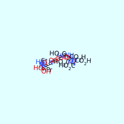 CCNC(=O)c1nnc(-c2cc(C(C)C)c(O)cc2O)n1-c1ccc(CC2CCN(C(=O)CCOCCOCCOCCNC(=O)[C@H](CC(=O)O)NC(=O)CC[C@H](C(=O)O)N3CCN(CC(=O)O)CCN(CC(=O)O)CCN(CC(=O)O)CC3)CC2)cc1